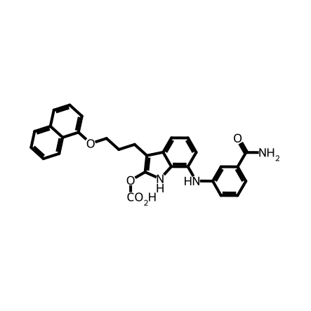 NC(=O)c1cccc(Nc2cccc3c(CCCOc4cccc5ccccc45)c(OC(=O)O)[nH]c23)c1